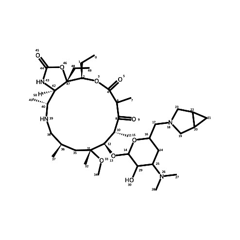 CC[C@H]1OC(=O)C(C)C(=O)[C@H](C)[C@@H](OC2OC(CN3CC4CC4C3)CC(N(C)C)C2O)[C@](C)(OC)C[C@@H](C)CN[C@H](C)[C@H]2NC(=O)O[C@@]21CC